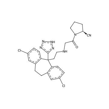 N#C[C@@H]1CCCN1C(=O)CNCCC1(c2nn[nH]n2)c2ccc(Cl)cc2CCc2cc(Cl)ccc21